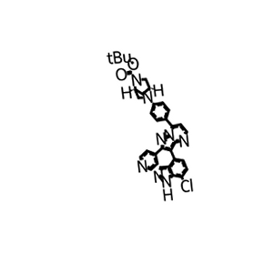 CC(C)(C)OC(=O)N1C[C@@H]2C[C@H]1CN2c1ccc(-c2ccnc3c(-c4ccc(Cl)c5[nH]ncc45)c(-c4ccncc4)nn23)cc1